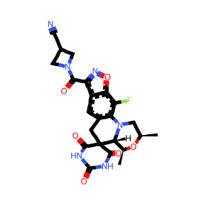 C[C@@H]1CN2c3c(cc4c(C(=O)N5CC(C#N)C5)noc4c3F)CC3(C(=O)NC(=O)NC3=O)[C@H]2[C@H](C)O1